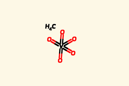 C.[O]=[V](=[O])(=[O])(=[O])=[O]